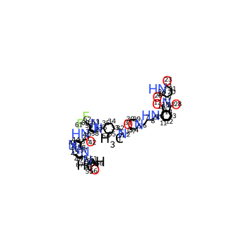 CN(C[C@H]1CN(CCCNc2cccc3c2C(=O)N(C2CCC(=O)NC2=O)C3=O)CCO1)C[C@H]1CC[C@H](n2cc(NC(=O)c3cnn4ccc(N5C[C@H]6C[C@H]5CO6)nc34)c(C(F)F)n2)CC1